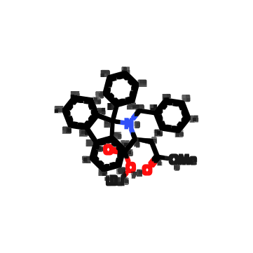 COC(=O)C[C@@H](C(=O)OC(C)(C)C)N(Cc1ccccc1)C1(c2ccccc2)c2ccccc2-c2ccccc21